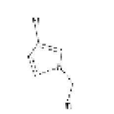 CCc1ccn(CC(C)C)c1